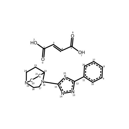 O=C(O)/C=C/C(=O)O.c1ccc(-c2nnc(N3CCN4CCC3CC4)s2)cc1